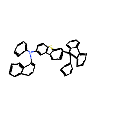 C1=C=C2C(=CC=1)c1ccccc1C2(c1ccccc1)c1ccc2c(c1)sc1ccc(N(c3ccccc3)c3cccc4ccccc34)cc12